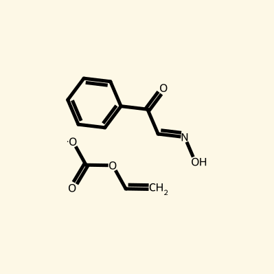 C=COC([O])=O.O=C(C=NO)c1ccccc1